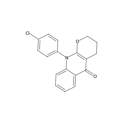 O=c1c2c(n(-c3ccc(Cl)cc3)c3ccccc13)OCCC2